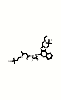 CCOCc1nc2c(NC(=O)[C@H](C)NC(=O)CC(C)OCCC(C)(C)O)nc3ccccc3c2n1CC(C)(C)O